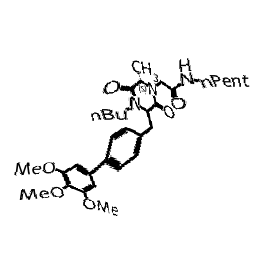 CCCCCNC(=O)CN1C(=O)C(Cc2ccc(-c3cc(OC)c(OC)c(OC)c3)cc2)N(CCCC)C(=O)[C@@H]1C